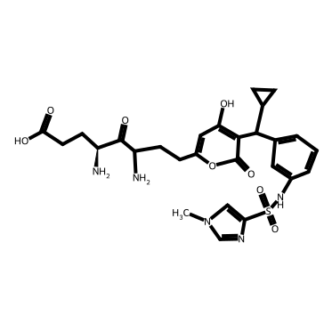 Cn1cnc(S(=O)(=O)Nc2cccc(C(c3c(O)cc(CCC(N)C(=O)[C@@H](N)CCC(=O)O)oc3=O)C3CC3)c2)c1